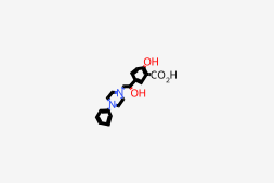 O=C(O)c1cc(C(O)CN2CCN(c3ccccc3)CC2)ccc1O